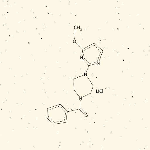 COc1ccnc(N2CCN(C(=S)c3ccccc3)CC2)n1.Cl